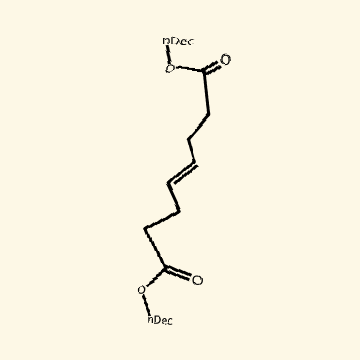 CCCCCCCCCCOC(=O)CCC=CCCC(=O)OCCCCCCCCCC